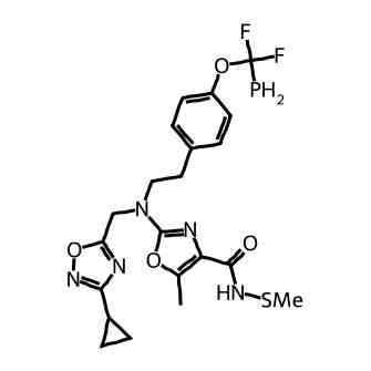 CSNC(=O)c1nc(N(CCc2ccc(OC(F)(F)P)cc2)Cc2nc(C3CC3)no2)oc1C